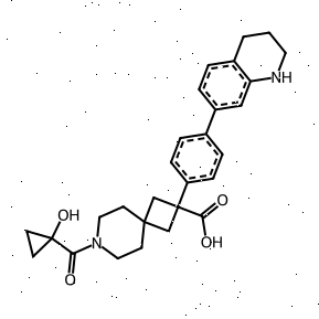 O=C(N1CCC2(CC1)CC(C(=O)O)(c1ccc(-c3ccc4c(c3)NCCC4)cc1)C2)C1(O)CC1